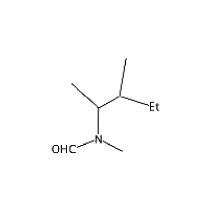 CCC(C)C(C)N(C)C=O